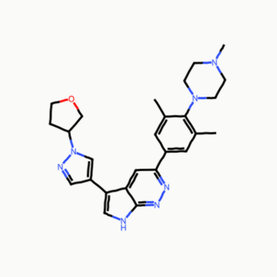 Cc1cc(-c2cc3c(-c4cnn(C5CCOC5)c4)c[nH]c3nn2)cc(C)c1N1CCN(C)CC1